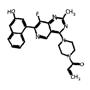 C=CC(=O)N1CCN(c2nc(C)nc3c(F)c(-c4cc(O)cc5ccccc45)ncc23)CC1